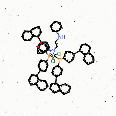 [Cl][Ru]([Cl])([N](CCNc1ccccc1)c1ccccc1)([P](c1ccc(-c2cccc3ccccc23)cc1)c1ccc(-c2cccc3ccccc23)cc1)[P](c1ccc(-c2cccc3ccccc23)cc1)c1ccc(-c2cccc3ccccc23)cc1